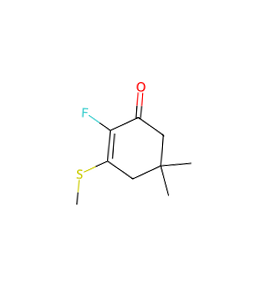 CSC1=C(F)C(=O)CC(C)(C)C1